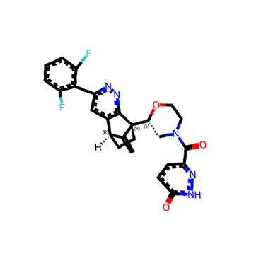 C=C1[C@H]2CC[C@]1([C@H]1CN(C(=O)c3ccc(=O)[nH]n3)CCO1)c1nnc(-c3c(F)cccc3F)cc12